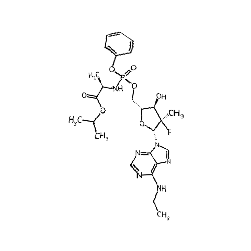 CCNc1ncnc2c1ncn2[C@@H]1O[C@H](COP(=O)(N[C@H](C)C(=O)OC(C)C)Oc2ccccc2)[C@@H](O)[C@@]1(C)F